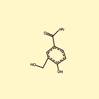 CCCC(=O)c1ccc(O)c(CO)c1